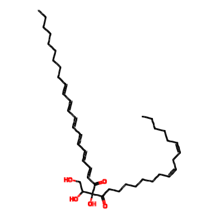 CCCCC/C=C\C/C=C\CCCCCCCC(=O)C(O)(C(=O)C=CC=CC=CC=CC=CC=CCCCCCCCCC)C(O)CO